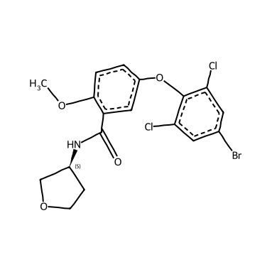 COc1ccc(Oc2c(Cl)cc(Br)cc2Cl)cc1C(=O)N[C@H]1CCOC1